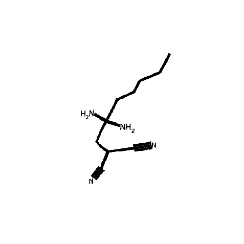 CCCCCC(N)(N)CC(C#N)C#N